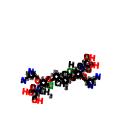 Cc1c(COc2cc(OCc3cncc(C#N)c3)c(CN(C)C(CCO)C(=O)O)cc2Cl)cccc1-c1cccc(COc2cc(OCc3cncc(C#N)c3)c(CN(C)C(CCO)C(=O)O)cc2Cl)c1C